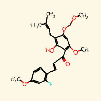 COCOc1cc(OC)c(C(=O)C=Cc2ccc(OC)cc2F)c(O)c1CC=C(C)C